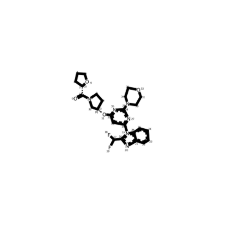 O=C([C@@H]1CCCO1)N1CC[C@H](Oc2cc(-n3c(C(F)F)nc4ccccc43)nc(N3CCOCC3)n2)C1